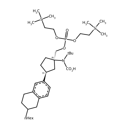 CCCCCCC1CCc2cc([C@H]3CC[C@@](COP(=O)(OCC[Si](C)(C)C)OCC[Si](C)(C)C)(N(C(=O)O)C(C)(C)C)C3)ccc2C1